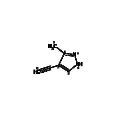 C#Cc1c[nH]nc1C